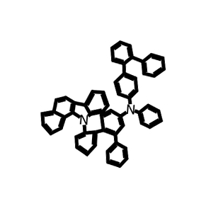 c1ccc(-c2ccccc2-c2ccc(N(c3ccccc3)c3ccc(-c4ccccc4-n4c5ccccc5c5ccc6ccccc6c54)c(-c4ccccc4)c3)cc2)cc1